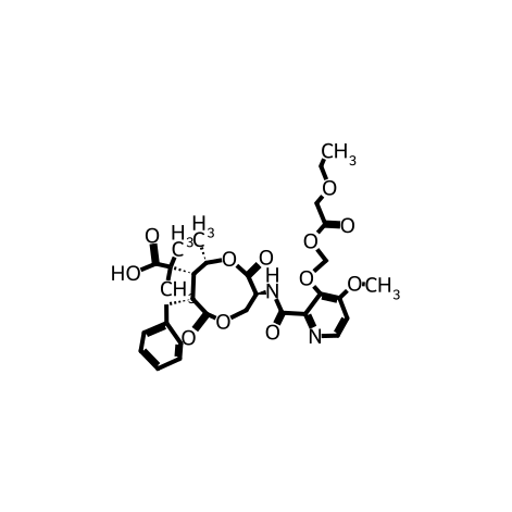 CCOCC(=O)OCOc1c(OC)ccnc1C(=O)N[C@H]1COC(=O)[C@H](Cc2ccccc2)[C@H](C(C)(C)C(=O)O)[C@H](C)OC1=O